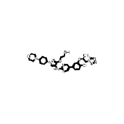 C[C@@H](Cn1cnnn1)Oc1cc(-c2cnc(Nc3cn([C@H]4CC[C@H](N5CCOCC5)CC4)nc3OCCO)nc2)ccc1Cl